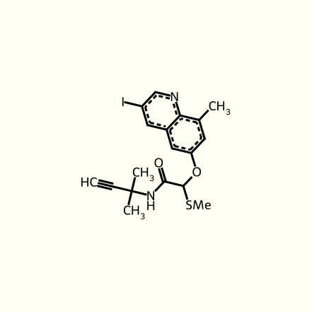 C#CC(C)(C)NC(=O)C(Oc1cc(C)c2ncc(I)cc2c1)SC